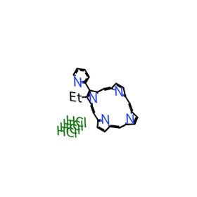 CCC1=C(c2ccccn2)C2=NC1=CC1=NC(=CC3=NC(=CC4=NC(=C2)C=C4)C=C3)C=C1.Cl.Cl.Cl.Cl